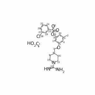 CC(=O)O.Cc1cc(OCC2CCN(C(=N)N)CC2)cc(OS(=O)(=O)c2cccc(Cl)c2)c1